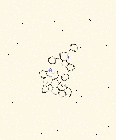 CC1=C(c2ccccc2)N=C(C2=CCCC=C2)CC=C1c1cccc(N2c3ccccc3C3C4=C(C=CC32)C(C)(c2ccccc2)c2c(ccc3c2C2=C(C=CCC2)C3)C4(C)c2ccccc2)c1